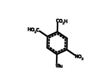 CC(C)(C)c1cc(C(=O)O)c(C(=O)O)cc1[N+](=O)[O-]